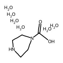 O.O.O.O.O.O.O=C(O)N1CCNCC1